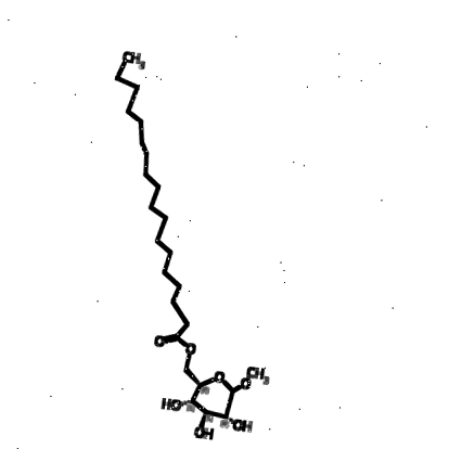 CCCCCCCCCCCCCCCCCC(=O)OC[C@H]1OC(OC)[C@H](O)[C@@H](O)[C@@H]1O